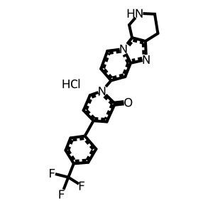 Cl.O=c1cc(-c2ccc(C(F)(F)F)cc2)ccn1-c1ccn2c3c(nc2c1)CCNC3